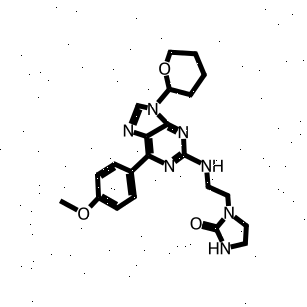 COc1ccc(-c2nc(NCCN3CCNC3=O)nc3c2ncn3C2CCCCO2)cc1